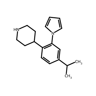 CC(C)c1ccc(C2CCNCC2)c(-n2cccc2)c1